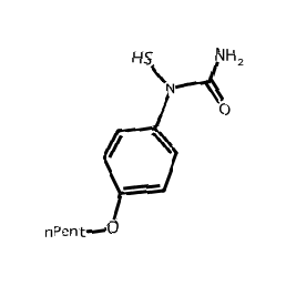 CCCCCOc1ccc(N(S)C(N)=O)cc1